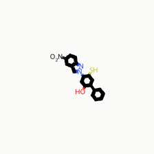 O=[N+]([O-])c1ccc2nn(-c3cc(O)c(-c4ccccc4)cc3S)cc2c1